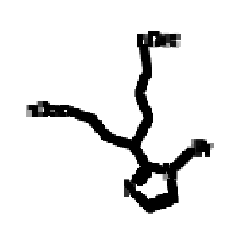 CCCCCCCCCCCCCC(CCCCCCCCCCCC)c1nccn1C(C)C